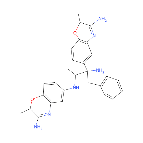 CC1Oc2ccc(NC(C)C(N)(Cc3ccccc3)c3ccc4c(c3)N=C(N)C(C)O4)cc2N=C1N